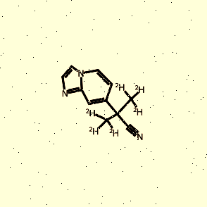 [2H]C([2H])([2H])C(C#N)(c1ccn2ccnc2c1)C([2H])([2H])[2H]